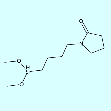 CO[SiH](CCCCN1CCCC1=O)OC